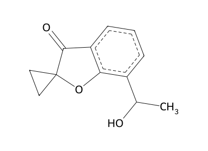 CC(O)c1cccc2c1OC1(CC1)C2=O